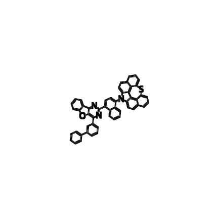 c1ccc(-c2cccc(-c3nc(-c4ccc(-n5c6ccc7cccc8sc9cccc%10ccc5c(c%109)c6c78)c5ccccc45)nc4c3oc3ccccc34)c2)cc1